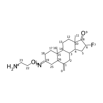 C=C1CC2C3CC(F)C(=O)C3(C)CCC2C2(C)CCC(=NOCCN)CC12